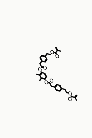 C=C(C)C(=O)OCCc1ccc(CC(=O)Oc2ccc(OC(=O)Cc3ccc(CCOC(=O)C(=C)C)cc3)c(C)c2C)cc1